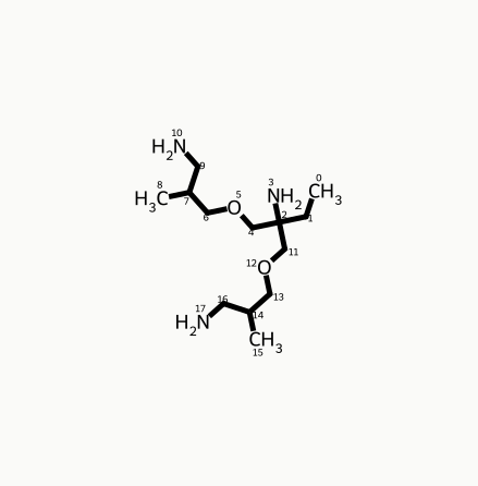 CCC(N)(COCC(C)CN)COCC(C)CN